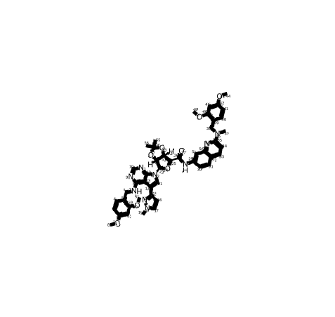 COc1ccc(CNc2ncnc3c2c(-c2ccn(C)n2)cn3[C@@H]2O[C@H](C(=O)Nc3ccc4ccc(N(C)Cc5ccc(OC)cc5OC)nc4c3)[C@H]3OC(C)(C)O[C@H]32)c(OC)c1